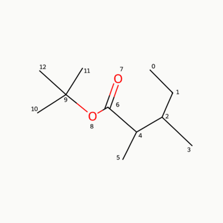 CCC(C)C(C)C(=O)OC(C)(C)C